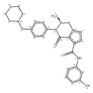 C[C@H]1Cn2ncc(C(=O)Nc3cccc(C#N)c3)c2C(=O)N1c1ccc(CN2CCOCC2)cc1